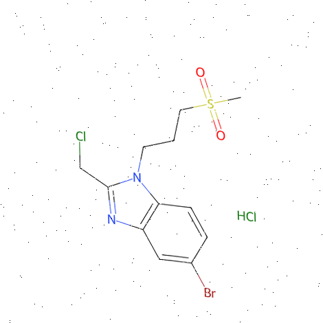 CS(=O)(=O)CCCn1c(CCl)nc2cc(Br)ccc21.Cl